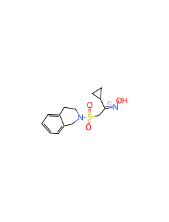 O=S(=O)(C/C(=N/O)C1CC1)N1CCc2ccccc2C1